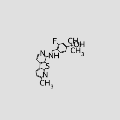 Cc1ccc2c(n1)sc1c(NCc3ccc(C(C)(C)O)cc3F)nccc12